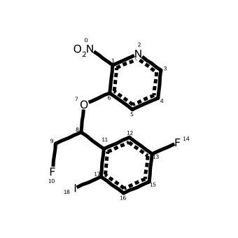 O=[N+]([O-])c1ncccc1OC(CF)c1cc(F)ccc1I